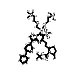 CC1CCC(CCc2nc3c(-c4ccc(-c5ccccc5)nc4)cnn3c(N(COCC[Si](C)(C)C)COCC[Si](C)(C)C)c2S(C)(=O)=O)N1C(=O)OC(C)(C)C